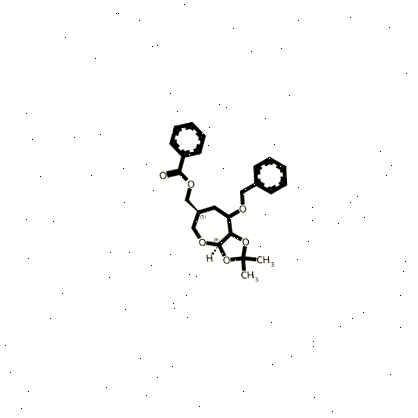 CC1(C)OC2C(OCc3ccccc3)C[C@H](COC(=O)c3ccccc3)CO[C@@H]2O1